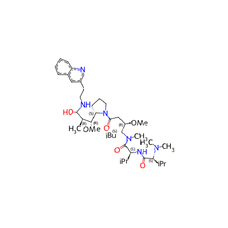 CC[C@H](C)C([C@@H](CC(=O)N1CCC[C@H]1[C@H](OC)[C@@H](C)C(O)NCCc1cnc2ccccc2c1)OC)N(C)C(=O)[C@@H](NC(=O)[C@H](C(C)C)N(C)C)C(C)C